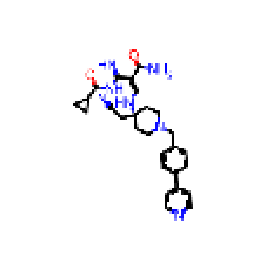 N#CCC1(N/C=C(\C(=N)NC(=O)C2CC2)C(N)=O)CCN(Cc2ccc(-c3ccncc3)cc2)CC1